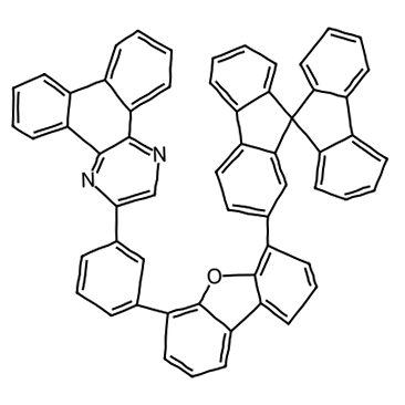 c1cc(-c2cnc3c4ccccc4c4ccccc4c3n2)cc(-c2cccc3c2oc2c(-c4ccc5c(c4)C4(c6ccccc6-c6ccccc64)c4ccccc4-5)cccc23)c1